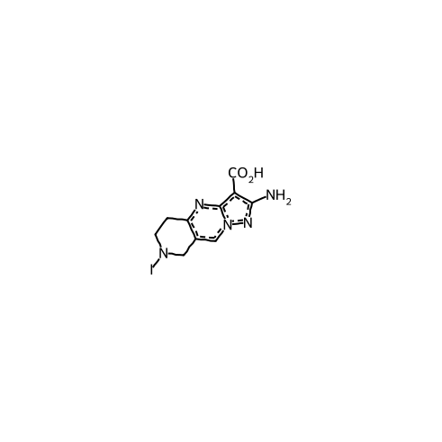 Nc1nn2cc3c(nc2c1C(=O)O)CCN(I)C3